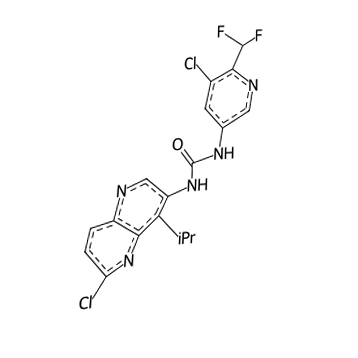 CC(C)c1c(NC(=O)Nc2cnc(C(F)F)c(Cl)c2)cnc2ccc(Cl)nc12